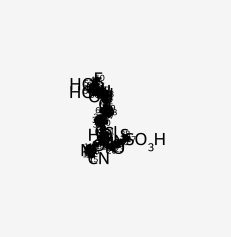 Cc1c(COc2cc(OCc3cncc(C#N)c3)c(CN(C)CC(=O)NCC(S(=O)(=O)O)S(=O)(=O)O)cc2Cl)cccc1-c1cccc(OCc2cn([C@@H]3OC(CF)[C@@H](O)C(O)C3O)nn2)c1C